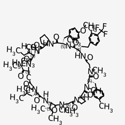 CC[C@H](C)[C@@H]1NC(=O)[C@H](CC(C)C)N(C)C(=O)C[C@@H](C(=O)N(C)C)N(C)C(=O)[C@H]([C@@H](C)CC)N(C)C(=O)C2(CCCC2)NC(=O)[C@H](Cc2ccc(OC)cc2)N(C)C(=O)[C@H](CCc2ccc(C(F)(F)F)c(Cl)c2)NC(=O)CN(C)C(=O)[C@H](Cc2ccc(C)cc2)N(C)C(=O)[C@@H]2CCN2C(=O)[C@H](C)N(C)C1=O